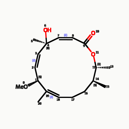 CO[C@H]1/C=C\[C@@](C)(O)/C=C\C(=O)O[C@H](C)[C@@H](C)CC/C=C\1C